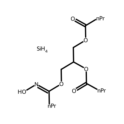 CCCC(=O)OCC(COC(CCC)=NO)OC(=O)CCC.[SiH4]